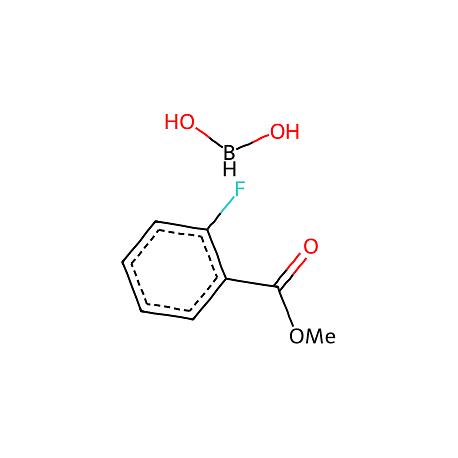 COC(=O)c1ccccc1F.OBO